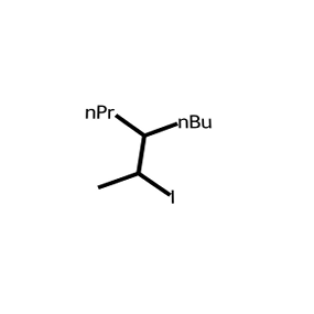 CCCCC(CCC)C(C)I